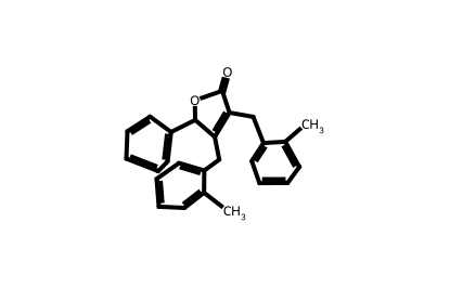 Cc1ccccc1CC1=C(Cc2ccccc2C)C(c2ccccc2)OC1=O